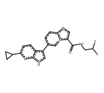 O=C(NCC(F)F)c1cnc2ccc(-c3c[nH]c4nc(C5CC5)ccc34)cn12